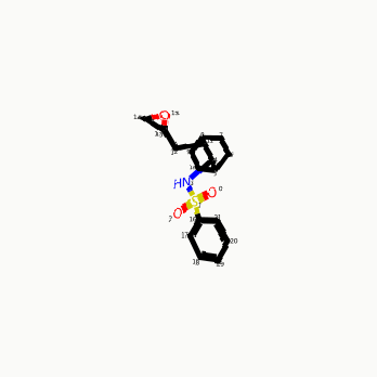 O=S(=O)(NC1C2CCC(CC2)C1CC1CO1)c1ccccc1